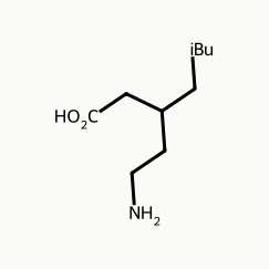 CCC(C)CC(CCN)CC(=O)O